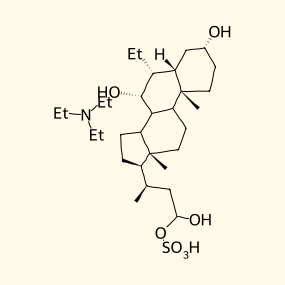 CCN(CC)CC.CC[C@H]1[C@@H](O)C2C3CC[C@H]([C@H](C)CC(O)OS(=O)(=O)O)[C@@]3(C)CCC2[C@@]2(C)CC[C@@H](O)C[C@@H]12